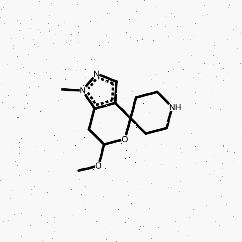 COC1Cc2c(cnn2C)C2(CCNCC2)O1